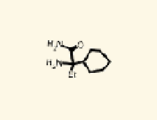 CCC(N)(C(N)=O)C1CCCCC1